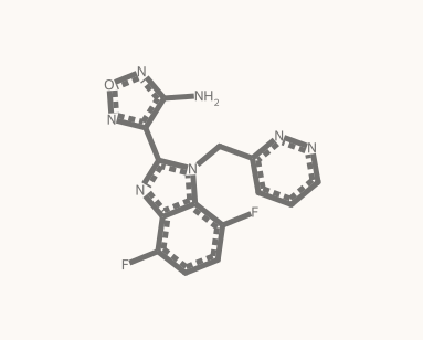 Nc1nonc1-c1nc2c(F)ccc(F)c2n1Cc1cccnn1